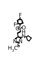 CSc1ncc(/C=C/S(=O)(=O)c2ccc(F)cc2F)c(NC2CCCC2)n1